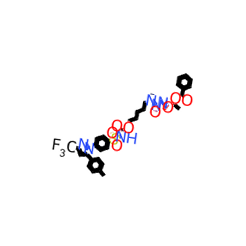 Cc1ccc(-c2cc(C(F)(F)F)nn2-c2ccc(S(=O)(=O)NC(=O)OCCCCCN(C)/[N+]([O-])=N/OC(C)OC(=O)c3ccccc3)cc2)cc1